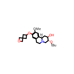 COc1cc2c(cc1OC1CC3(COC3)C1)CCN1C[C@@H](OC(C)(C)C)[C@H](O)C[C@H]21